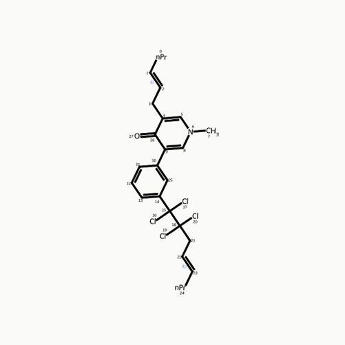 CCC/C=C/Cc1cn(C)cc(-c2cccc(C(Cl)(Cl)C(Cl)(Cl)C/C=C/CCC)c2)c1=O